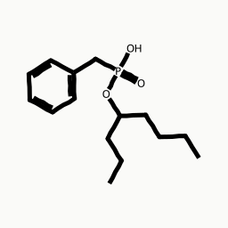 CCCCC(CCC)OP(=O)(O)Cc1ccccc1